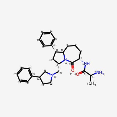 CC(N)C(=O)N[C@H]1CCCC2[C@@H](c3ccccc3)C[C@@H](CN3CCC(c4ccccc4)C3)N2C1=O